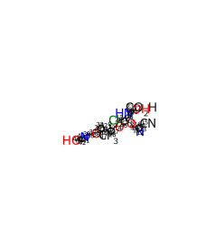 Cc1c(COc2cc(OCc3cncc(C#N)c3)c(CN[C@@H](CO)C(=O)O)cc2Cl)cccc1-c1cccc(OCCCN2CC[C@H](O)C2)c1C(F)(F)F